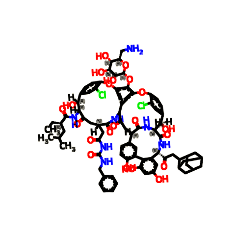 CC[C@H](CC(C)C)C(=O)N[C@H]1C(=O)C[C@@H](CC(=O)NC(=O)NCc2ccccc2)C(=O)NC2C(=O)C[C@H]3C(=O)N[C@H](C(=O)N[C@H](C(=O)CC4C5CC6CC(C5)CC4C6)c4cc(O)cc(O)c4-c4cc3ccc4O)[C@H](O)c3ccc(c(Cl)c3)Oc3cc2cc(c3O[C@@H]2O[C@H](CN)[C@@H](O)[C@H](O)[C@H]2O)Oc2ccc(cc2Cl)[C@H]1O